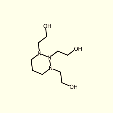 OCCN1CCCN(CCO)N1CCO